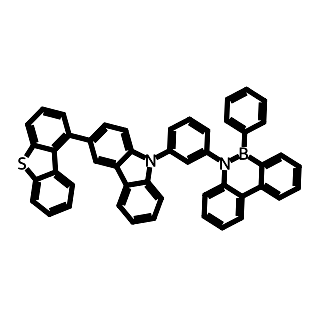 c1ccc(B2c3ccccc3-c3ccccc3N2c2cccc(-n3c4ccccc4c4cc(-c5cccc6sc7ccccc7c56)ccc43)c2)cc1